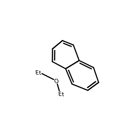 CCOCC.c1ccc2ccccc2c1